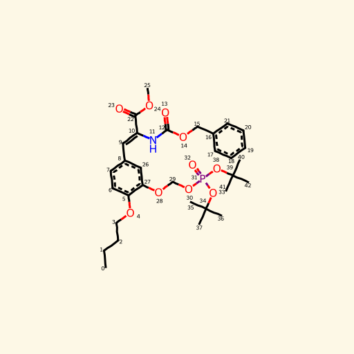 CCCCOc1ccc(C=C(NC(=O)OCc2ccccc2)C(=O)OC)cc1OCOP(=O)(OC(C)(C)C)OC(C)(C)C